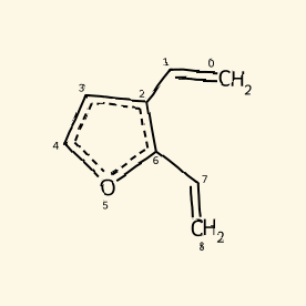 C=Cc1ccoc1C=C